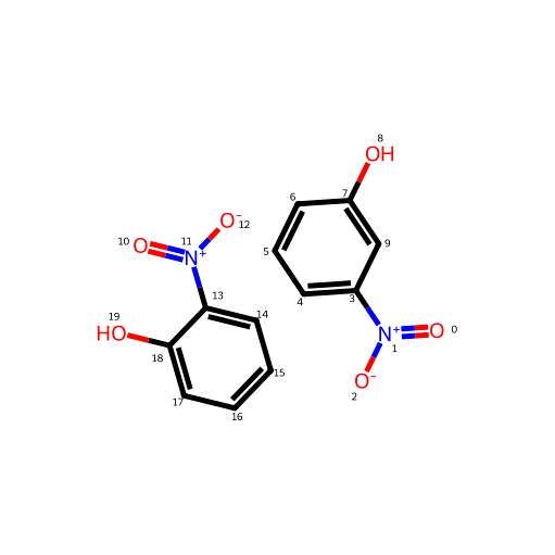 O=[N+]([O-])c1cccc(O)c1.O=[N+]([O-])c1ccccc1O